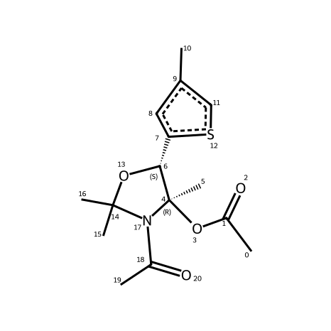 CC(=O)O[C@]1(C)[C@@H](c2cc(C)cs2)OC(C)(C)N1C(C)=O